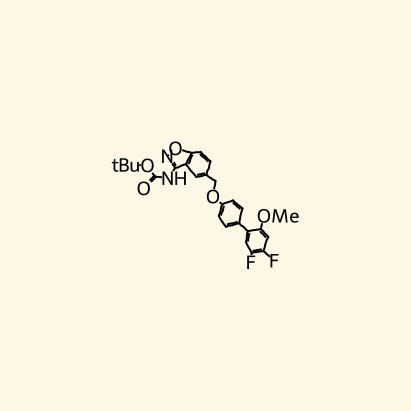 COc1cc(F)c(F)cc1-c1ccc(OCc2ccc3onc(NC(=O)OC(C)(C)C)c3c2)cc1